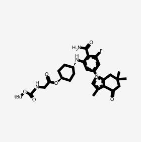 Cc1cn(-c2cc(F)c(C(N)=O)c(N[C@H]3CC[C@H](OC(=O)CNC(=O)OC(C)(C)C)CC3)c2)c2c1C(=O)CC(C)(C)C2